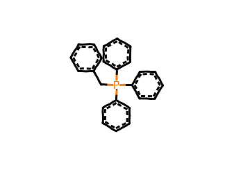 c1ccc(C[P](c2ccccc2)(c2ccccc2)c2ccccc2)cc1